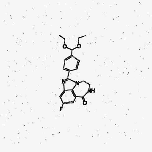 CCOC(OCC)c1ccc(-c2nc3cc(F)cc4c3n2CCNC4=O)cc1